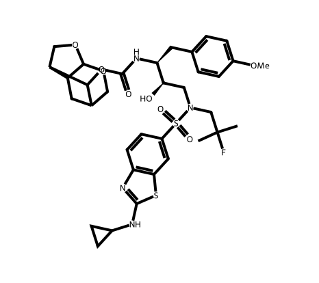 COc1ccc(C[C@H](NC(=O)OC2C3COC4OCC2C4C3)[C@H](O)CN(CC(C)(C)F)S(=O)(=O)c2ccc3nc(NC4CC4)sc3c2)cc1